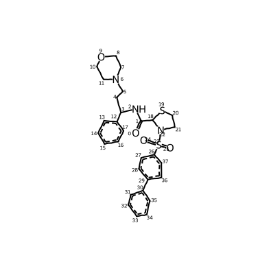 O=C(NC(CCN1CCOCC1)c1ccccc1)C1SCCN1S(=O)(=O)c1ccc(-c2ccccc2)cc1